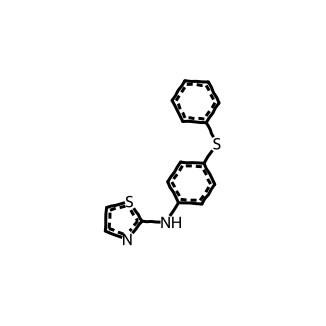 c1ccc(Sc2ccc(Nc3nccs3)cc2)cc1